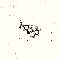 O=C(Nc1ccc([N+](=O)[O-])cc1Br)c1c(O)cccc1Cl